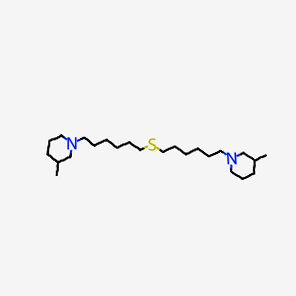 CC1CCCN(CCCCCCSCCCCCCN2CCCC(C)C2)C1